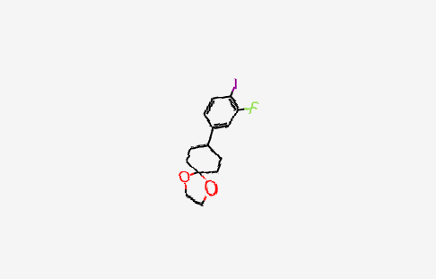 Fc1cc(C2CCC3(CC2)OCCO3)ccc1I